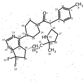 Cc1ccc(C(C(=O)N2CCN(c3ncnc4c3[C@H](C)CC4(F)F)CC2)[C@@H]2CCC(C)(C)N2)cc1